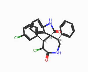 O=C1NC[C@@H](c2ccccc2)[C@@]2(C(=O)Nc3ccccc32)[C@@H](c2cccc(Cl)c2)C1Cl